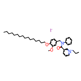 CCCCCCCCCCCCCCCCOc1ccc(CN(C(=O)c2ccc[n+](CCC)c2)c2ccccc2)cc1OC.[I-]